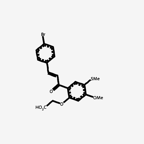 COc1cc(OCC(=O)O)c(C(=O)C=Cc2ccc(Br)cc2)cc1SC